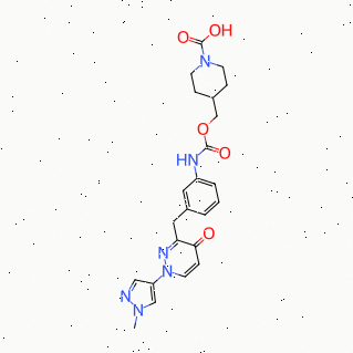 Cn1cc(-n2ccc(=O)c(Cc3cccc(NC(=O)OCC4CCN(C(=O)O)CC4)c3)n2)cn1